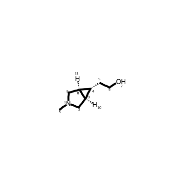 CN1C[C@@H]2[C@@H](CCO)[C@@H]2C1